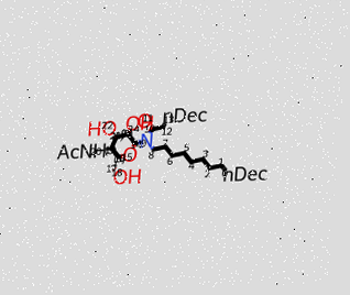 CCCCCCCCCCCCCCCCCCN(C(=O)CCCCCCCCCCC)C1O[C@H](CO)[C@@H](NC(C)=O)[C@H](O)[C@H]1O